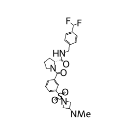 CNC1CN(S(=O)(=O)c2cccc(C(=O)N3CCC[C@@H]3C(=O)NCc3ccc(C(F)F)cc3)c2)C1